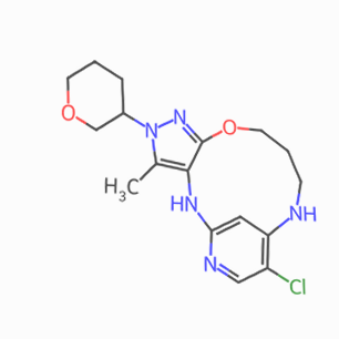 Cc1c2c(nn1C1CCCOC1)OCCCNc1cc(ncc1Cl)N2